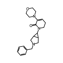 O=C1C(N2CCOCC2)=CCCN1C1C2CN(Cc3ccccc3)CC21